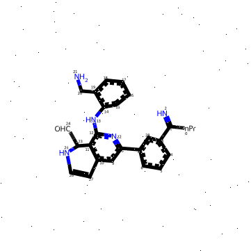 CCCC(=N)c1cccc(-c2cc3c(c(Nc4ccccc4CN)n2)C(C=O)NC=C3)c1